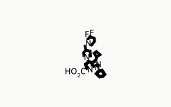 O=C(O)c1cc(N2CCC(CN3CCCC(F)(F)C3)CC2)c2c(C3CCC3)nn(-c3ccccc3)c2n1